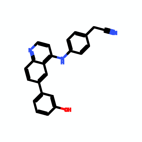 N#CCc1ccc(Nc2ccnc3ccc(-c4cccc(O)c4)cc23)cc1